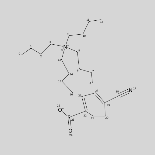 CCCC[N+](CCCC)(CCCC)CCCC.N#Cc1ccc(S(=O)[O-])cc1